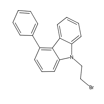 BrCCn1c2ccccc2c2c(-c3ccccc3)cccc21